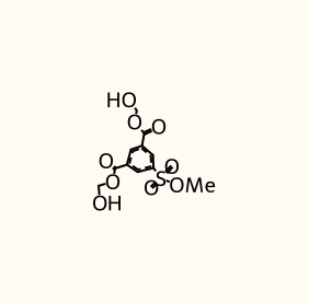 COS(=O)(=O)c1cc(C(=O)OCO)cc(C(=O)OCO)c1